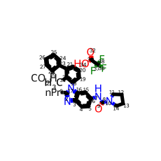 CCCc1nc2ccc(NC(=O)N3CCCC3)cc2n1-c1cccc(-c2ccccc2C(=O)O)c1C.O=C(O)C(F)(F)F